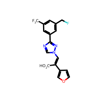 O=C(O)/C(=C\n1cnc(-c2cc(CF)cc(C(F)(F)F)c2)n1)c1ccoc1